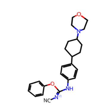 N#C/N=C(/Nc1ccc(C2CCC(N3CCOCC3)CC2)cc1)Oc1ccccc1